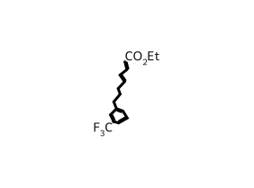 CCOC(=O)C=CC=CCCCc1cccc(C(F)(F)F)c1